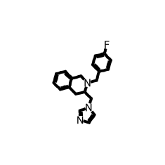 Fc1ccc(CN2Cc3ccccc3CC2Cn2ccnc2)cc1